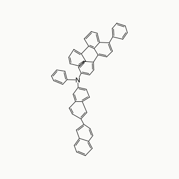 c1ccc(-c2ccc(-c3ccc(N(c4ccccc4)c4ccc5cc(-c6ccc7ccccc7c6)ccc5c4)cc3)c3c(-c4ccccc4)cccc23)cc1